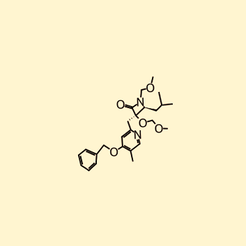 COCO[C@@]1(Cc2cc(OCc3ccccc3)c(C)cn2)C(=O)N(COC)[C@H]1CC(C)C